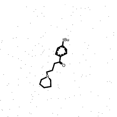 CC(C)(C)c1ccc(C(=O)CCCN2CCCCC2)cc1